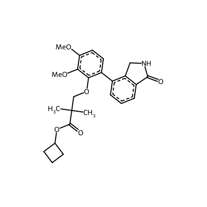 COc1ccc(-c2cccc3c2CNC3=O)c(OCC(C)(C)C(=O)OC2CCC2)c1OC